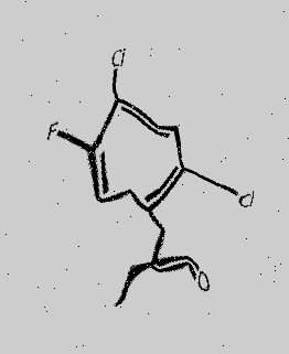 CC(=O)c1cc(F)c(Cl)cc1Cl